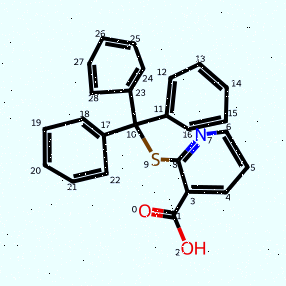 O=C(O)c1cccnc1SC(c1ccccc1)(c1ccccc1)c1ccccc1